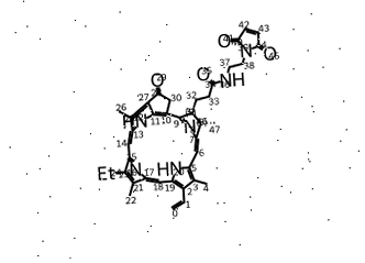 C=Cc1c(C)c2cc3nc(c4c5[nH]c(cc6nc(cc1[nH]2)C(C)=C6CC)c(C)c5C(=O)C4)[C@@H](CCC(=O)NCCN1C(=O)C=CC1=O)[C@@H]3C